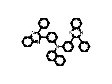 c1ccc(-c2nc3ccccc3nc2-c2cccc(N(c3cccc(-c4nc5ccccc5nc4-c4ccccc4)c3)c3cccc4ccccc34)c2)cc1